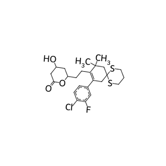 CC1(C)CC2(CC(c3ccc(Cl)c(F)c3)=C1CCC1CC(O)CC(=O)O1)SCCCS2